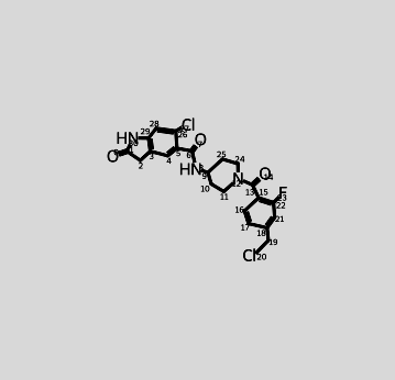 O=C1Cc2cc(C(=O)NC3CCN(C(=O)c4ccc(CCl)cc4F)CC3)c(Cl)cc2N1